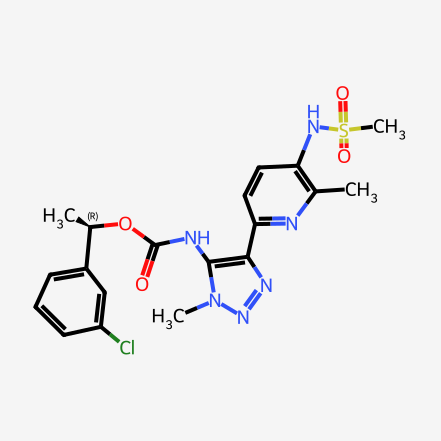 Cc1nc(-c2nnn(C)c2NC(=O)O[C@H](C)c2cccc(Cl)c2)ccc1NS(C)(=O)=O